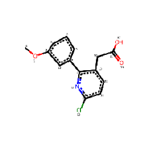 COc1cccc(-c2nc(Cl)ccc2CC(=O)O)c1